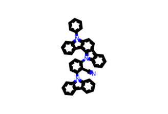 N#Cc1c(-n2c3ccccc3c3ccccc32)cccc1-n1c2ccccc2c2ccc3c(c4ccccc4n3-c3ccccc3)c21